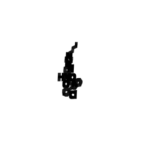 CCCCCN1CCN(c2ccc(NC(=O)C(=O)c3c(-c4ccccc4Cl)cc4ccccn34)cn2)CC1